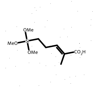 CO[Si](CC/C=C(\C)C(=O)O)(OC)OC